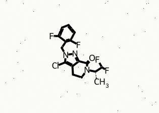 C[C@@H](C(F)F)N1CCc2c(nn(Cc3c(F)cccc3F)c2Cl)C1=O